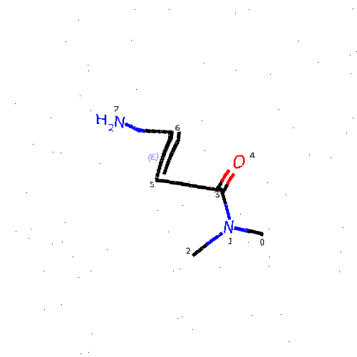 CN(C)C(=O)/C=C/N